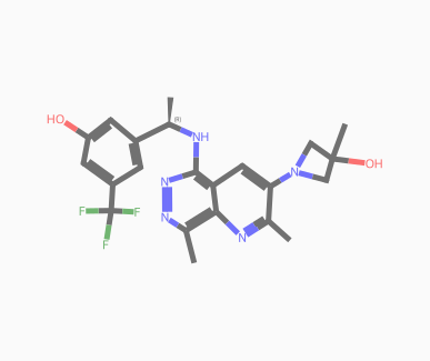 Cc1nc2c(C)nnc(N[C@H](C)c3cc(O)cc(C(F)(F)F)c3)c2cc1N1CC(C)(O)C1